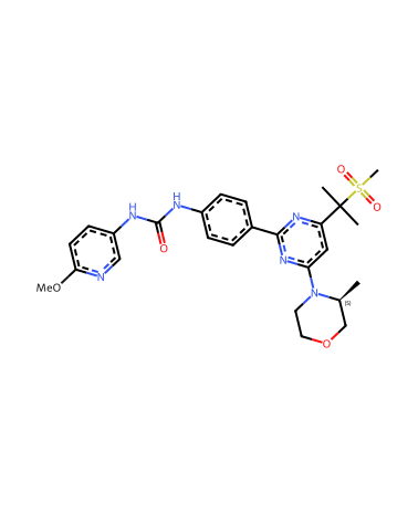 COc1ccc(NC(=O)Nc2ccc(-c3nc(N4CCOC[C@@H]4C)cc(C(C)(C)S(C)(=O)=O)n3)cc2)cn1